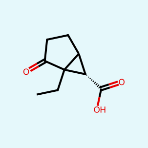 CCC12C(=O)CCC1[C@@H]2C(=O)O